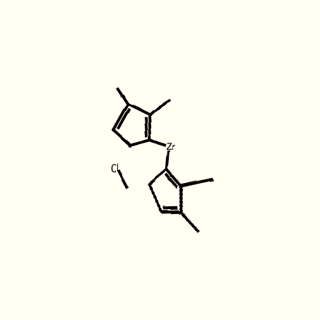 CC1=CC[C]([Zr][C]2=C(C)C(C)=CC2)=C1C.CCl